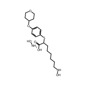 NO.O=C(O)C(CCCCCCNO)Sc1ccc(OC2CCOCC2)cc1